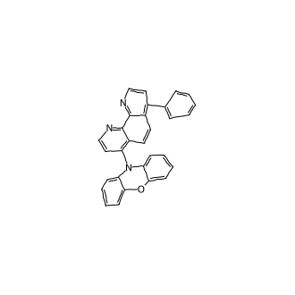 c1ccc(-c2ccnc3c2ccc2c(N4c5ccccc5Oc5ccccc54)ccnc23)cc1